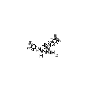 Nc1nc(N/N=C/c2ccc(F)c(F)c2)cc(N/N=C/c2ccc(F)c(F)c2)n1